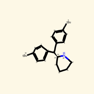 CC(C)(C)c1ccc(C(c2ccc(C(C)(C)C)cc2)[C@@H]2CCCCN2)cc1